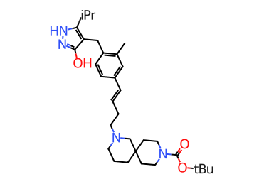 Cc1cc(/C=C/CCN2CCCC3(CCN(C(=O)OC(C)(C)C)CC3)C2)ccc1Cc1c(O)n[nH]c1C(C)C